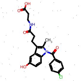 Cc1c(CCC(=O)NCCC(=O)O)c2cc(O)ccc2n1C(=O)c1ccc(Cl)cc1